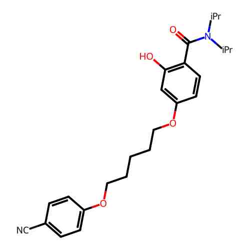 CC(C)N(C(=O)c1ccc(OCCCCCOc2ccc(C#N)cc2)cc1O)C(C)C